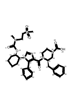 CN(CCS(C)(=O)=O)C(=O)O[C@H]1CCCC[C@@H]1n1cnc(C(=O)N2CCN(C(=O)O)C[C@H]2Cc2ccccc2)c1-c1ccccc1